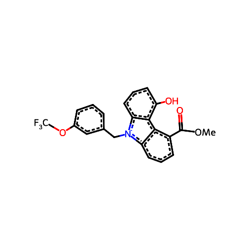 COC(=O)c1cccc2c1c1c(O)cccc1n2Cc1cccc(OC(F)(F)F)c1